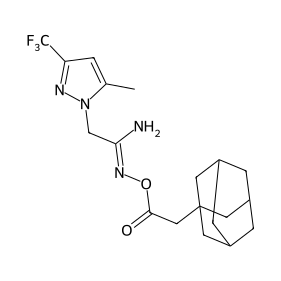 Cc1cc(C(F)(F)F)nn1C/C(N)=N/OC(=O)CC12CC3CC(CC(C3)C1)C2